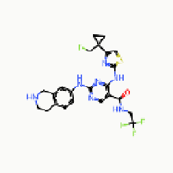 O=C(NCC(F)(F)F)c1cnc(Nc2ccc3c(c2)CNCC3)nc1Nc1nc(C2(CF)CC2)cs1